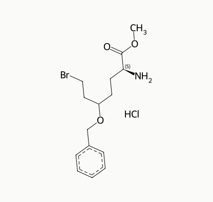 COC(=O)[C@@H](N)CCC(CCBr)OCc1ccccc1.Cl